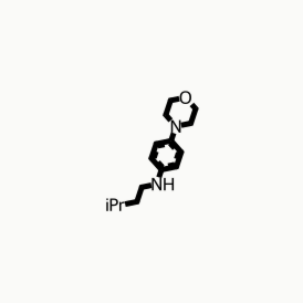 CC(C)CCNc1ccc(N2CCOCC2)cc1